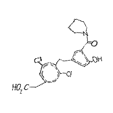 O=C(O)Cc1cc(Cl)c(Cc2ccc(O)c(C(=O)N3CCCCC3)c2)c(Cl)c1